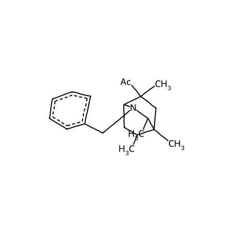 CC(=O)C1(C)CC2(C)C(C)CC1N(Cc1ccccc1)C2C